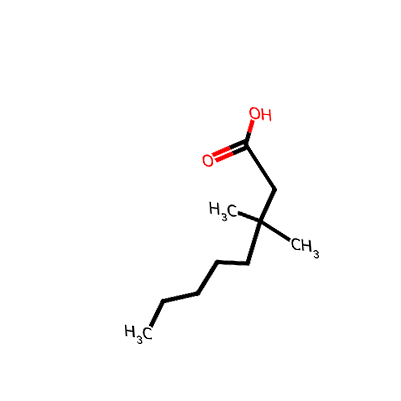 CCCCCC(C)(C)CC(=O)O